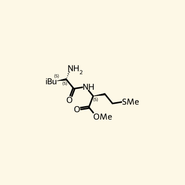 CC[C@H](C)[C@H](N)C(=O)N[C@@H](CCSC)C(=O)OC